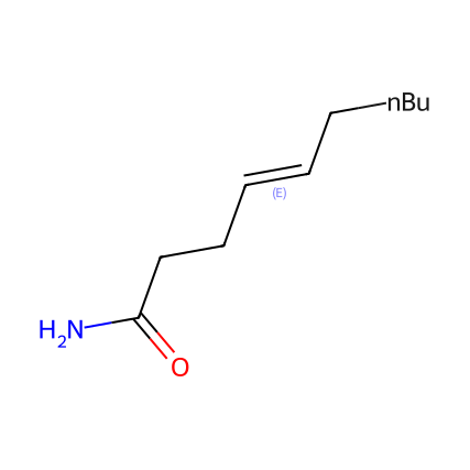 CCCCC/C=C/CCC(N)=O